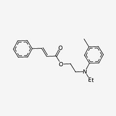 CCN(CCOC(=O)/C=C/c1ccccc1)c1cccc(C)c1